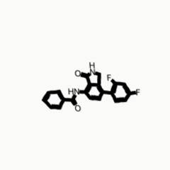 O=C(Nc1ccc(-c2ccc(F)cc2F)c2c1C(=O)NC2)c1ccccc1